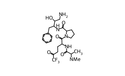 CNC(C)C(=O)NC(CCC(=O)C(F)(F)F)C(=O)N1CCCC1C(=O)NC(Cc1ccccc1)C(O)CN